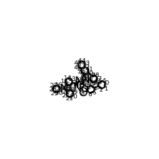 c1ccc(-c2ccc3oc4nc(-c5cccc6c5c5ccccc5n6-c5ccccc5)nc(-n5c6ccccc6c6cc7ccccc7cc65)c4c3c2)cc1